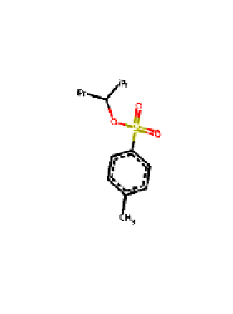 Cc1ccc(S(=O)(=O)OC(C(C)C)C(C)C)cc1